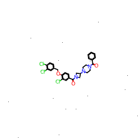 O=C(c1ccccc1)N1CCN(C2CN(C(=O)c3ccc(OCc4ccc(Cl)c(Cl)c4)c(Cl)c3)C2)CC1